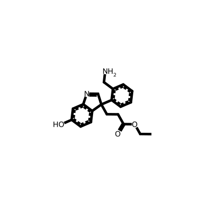 CCOC(=O)CCC1(c2ccccc2CN)C=Nc2cc(O)ccc21